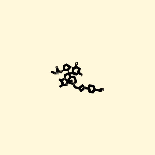 CNC(=O)O[C@H]1CCC[C@@H]1C(Cn1c(C)nc(C)c1C)(c1cc(F)cc(Cl)c1)C1CCN(CC2CN(c3ccc(C#N)cc3)C2)CC1